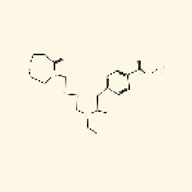 CCN(CCCCN1CCNCCC1=O)C(C)Cc1ccc(C(=O)OC)cc1